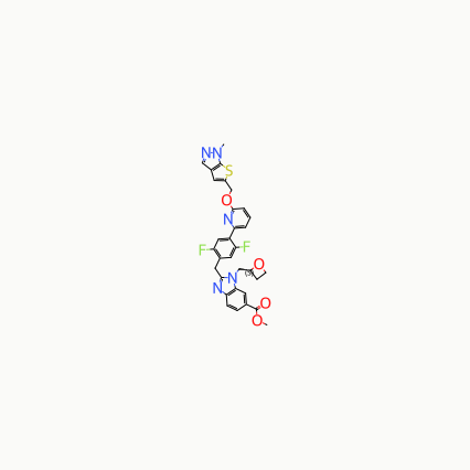 COC(=O)c1ccc2nc(Cc3cc(F)c(-c4cccc(OCc5cc6cnn(C)c6s5)n4)cc3F)n(C[C@@H]3CCO3)c2c1